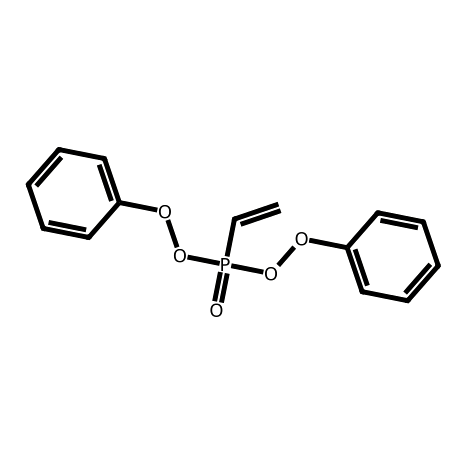 C=CP(=O)(OOc1ccccc1)OOc1ccccc1